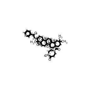 CC1(C)CC[C@]2(C(=O)N3CCC(=O)[S+]([O-])CC3)CC[C@]3(C)C(=CC[C@@H]4[C@@]5(C)CC[C@H](CC(=O)c6cccnc6)C(C)(C)[C@@H]5CC[C@]43C)[C@@H]2C1